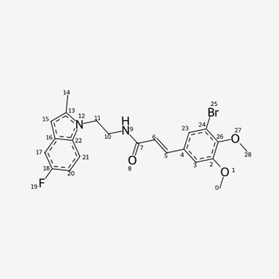 COc1cc(C=CC(=O)NCCn2c(C)cc3cc(F)ccc32)cc(Br)c1OC